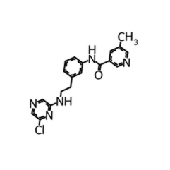 Cc1cncc(C(=O)Nc2cccc(CCNc3cncc(Cl)n3)c2)c1